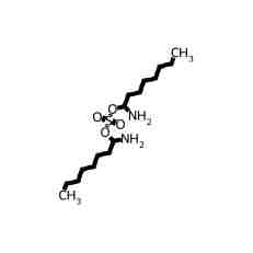 CCCCCCCC(N)OS(=O)(=O)OC(N)CCCCCCC